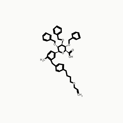 C=CCOCCCCc1ccc(Cc2cc([C@@H]3O[C@H](C(=O)O)[C@@H](OCc4ccccc4)[C@H](OCc4ccccc4)[C@H]3OCc3ccccc3)ccc2C)cc1